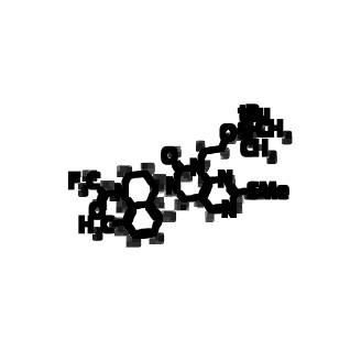 CSc1ncc2c(n1)N(CCO[Si](C)(C)C(C)(C)C)C(=O)N([C@H]1CCN(C(=O)C(F)(F)F)c3c(C)cccc31)C2